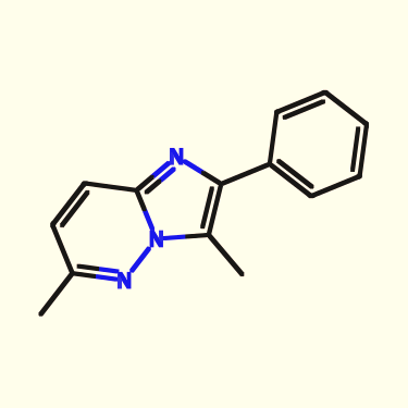 Cc1ccc2nc(-c3ccccc3)c(C)n2n1